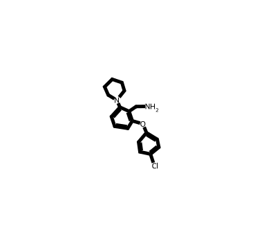 NCc1c(Oc2ccc(Cl)cc2)cccc1N1CCCCC1